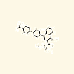 CC(=O)c1ccc(-c2ccc(-c3cc(C(=O)N(C)C)c(O)c4ccccc34)cc2)cc1